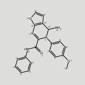 COc1ccc(N2C(C(=O)Nc3ccccc3)=Nc3occc3C2N)cc1